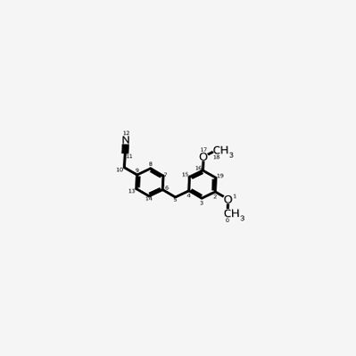 COc1cc(Cc2ccc(CC#N)cc2)cc(OC)c1